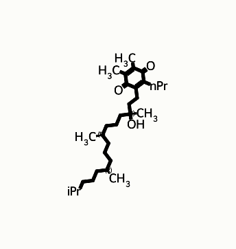 CCCC1=C(CC[C@](C)(O)CCC[C@H](C)CCC[C@H](C)CCCC(C)C)C(=O)C(C)=C(C)C1=O